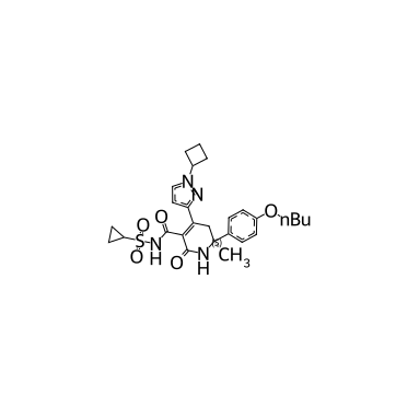 CCCCOc1ccc([C@]2(C)CC(c3ccn(C4CCC4)n3)=C(C(=O)NS(=O)(=O)C3CC3)C(=O)N2)cc1